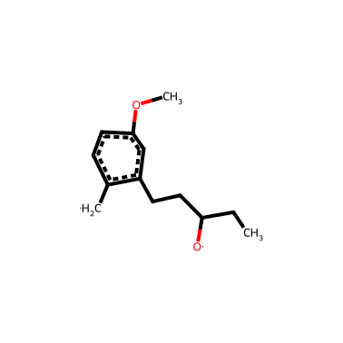 [CH2]c1ccc(OC)cc1CCC([O])CC